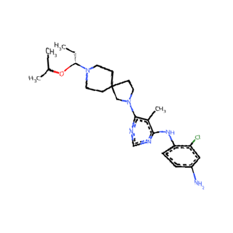 CC[C@@H](OC(C)C)N1CCC2(CCN(c3ncnc(Nc4ccc(N)cc4Cl)c3C)C2)CC1